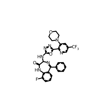 O=C1Nc2c(F)cccc2C(c2ccccc2)=NC1Nc1nnc(-c2ncc(C(F)(F)F)cc2N2CCOCC2)o1